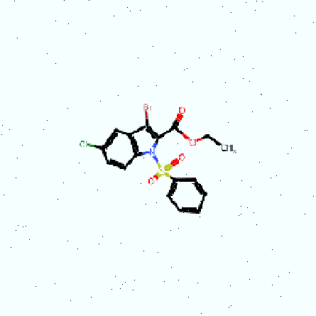 CCOC(=O)c1c(Br)c2cc(Cl)ccc2n1S(=O)(=O)c1ccccc1